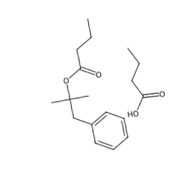 CCCC(=O)O.CCCC(=O)OC(C)(C)Cc1ccccc1